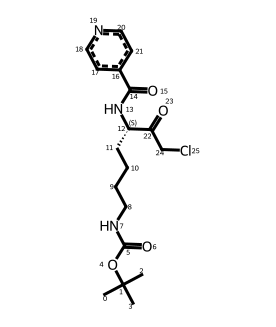 CC(C)(C)OC(=O)NCCCC[C@H](NC(=O)c1ccncc1)C(=O)CCl